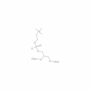 CCCCCCCCCCOCC(COP(=O)([O-])OCC[N+](C)(C)C)OCCCCCCCCCC